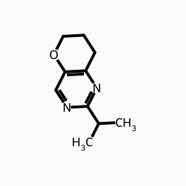 CC(C)c1ncc2c(n1)CCCO2